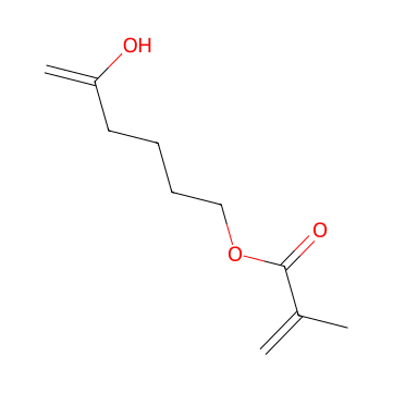 C=C(O)CCCCOC(=O)C(=C)C